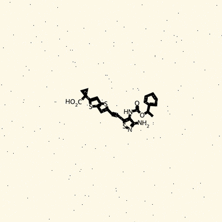 CC(OC(=O)Nc1c(N)nsc1C#Cc1cc2sc(C3(C(=O)O)CC3)cc2s1)c1ccccc1